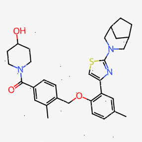 Cc1ccc(OCc2ccc(C(=O)N3CCC(O)CC3)cc2C)c(-c2csc(N3CC4CCC(C4)C3)n2)c1